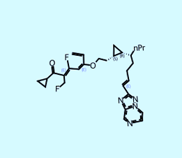 C=C/C(=C\C(F)=C(/CF)C(=O)C1CC1)OCC[C@@H]1C[C@@H]1C(CCC)CC/C=C/c1nc2cnccn2n1